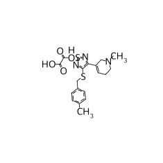 Cc1ccc(CSc2nsnc2C2=CCCN(C)C2)cc1.O=C(O)C(=O)O